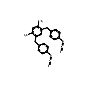 Cc1cc(C)c(Cc2ccc(N=C=O)cc2)cc1Cc1ccc(N=C=O)cc1